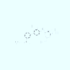 COC(=O)c1cccc(-c2ccc(OC3O[C@H](CO)C[C@H](O)[C@]3(C)O)c(C)c2)c1